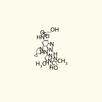 Cc1cc(Nc2ncnc3cc(NS(=O)(=O)CCO)cc(N4CCC5(CC4)CC5)c23)nc(NC(C)(C)CO)n1